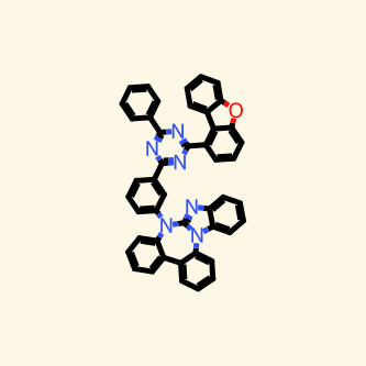 c1ccc(-c2nc(-c3cccc(N4c5ccccc5-c5ccccc5-n5c4nc4ccccc45)c3)nc(-c3cccc4oc5ccccc5c34)n2)cc1